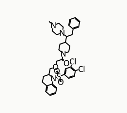 CN1CCN(C(Cc2ccccc2)C2CCN(C(=O)COCC3CCc4ccccc4N3S(=O)(=O)c3ccc(Cl)c(Cl)c3)CC2)CC1